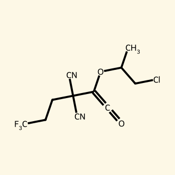 CC(CCl)OC(=C=O)C(C#N)(C#N)CCC(F)(F)F